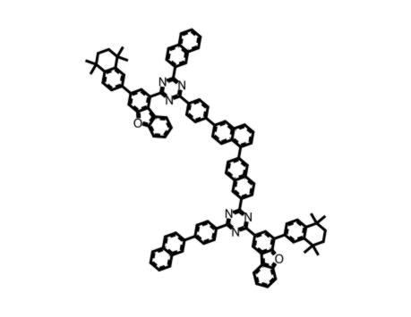 CC1(C)CCC(C)(C)c2cc(-c3cc(-c4nc(-c5ccc(-c6ccc7c(-c8ccc9cc(-c%10nc(-c%11ccc(-c%12ccc%13ccccc%13c%12)cc%11)nc(-c%11cc(-c%12ccc%13c(c%12)C(C)(C)CCC%13(C)C)c%12oc%13ccccc%13c%12c%11)n%10)ccc9c8)cccc7c6)cc5)nc(-c5ccc6ccccc6c5)n4)c4c(c3)oc3ccccc34)ccc21